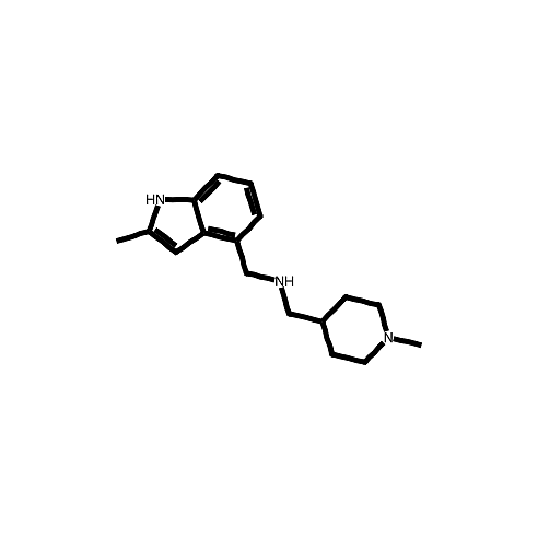 Cc1cc2c(CNCC3CCN(C)CC3)cccc2[nH]1